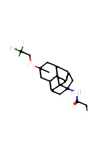 O=C(CCl)NC12CC3C4CC5(OCC(F)(F)F)CC3C(C1)C(C5)C4C2